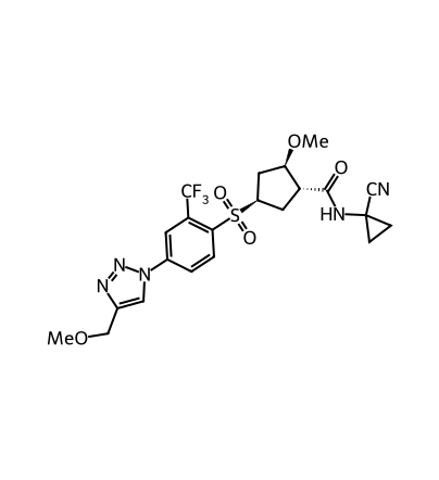 COCc1cn(-c2ccc(S(=O)(=O)[C@H]3C[C@@H](OC)[C@H](C(=O)NC4(C#N)CC4)C3)c(C(F)(F)F)c2)nn1